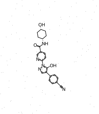 N#Cc1ccc(-c2cnn(-c3ccc(C(=O)N[C@H]4CC[C@@H](O)CC4)cn3)c2O)cc1